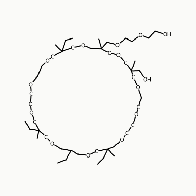 CCC1COCC(C)(CC)COCCOCCOCC(C)(CC)COCC(C)(COCCOCCO)COCC(C)(CO)COCCOCCOCC(C)(CC)COC1